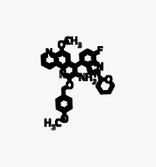 COc1ccc(COc2nc3c(cc(OC)c4ncccc43)c(-c3ccc(F)c4nn(C5CCCCO5)cc34)c2N)cc1